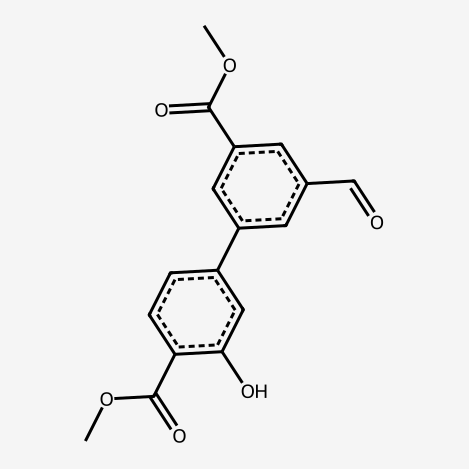 COC(=O)c1cc(C=O)cc(-c2ccc(C(=O)OC)c(O)c2)c1